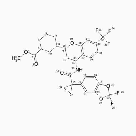 COC(=O)C1CCCC([C@H]2C[C@@H](NC(=O)C3(c4ccc5c(c4)OC(F)(F)O5)CC3)c3ccc(C(F)(F)F)cc3O2)C1